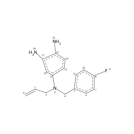 C=CCN(Cc1ccc(F)cc1)c1ccc(N)c(N)c1